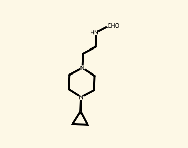 O=CNCCN1CCN(C2CC2)CC1